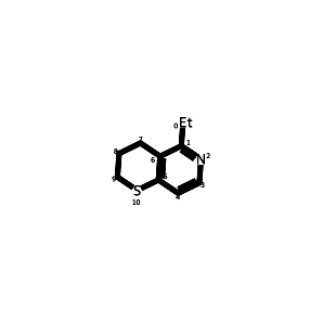 CCc1nccc2c1CCCS2